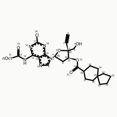 C#C[C@]1(CO)O[C@@H](n2cnc3c(NC(=O)CCCCCCCC)nc(Cl)nc32)C[C@@H]1OC(=O)C1CCC2(CCCC2)CC1